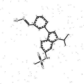 CC(C)n1cc(-c2cccc(C=NO)c2)c2ccc(NS(C)(=O)=O)cc21